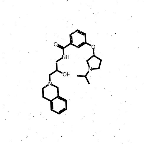 CC(C)N1CCC(Oc2cccc(C(=O)NCC(O)CN3CCc4ccccc4C3)c2)C1